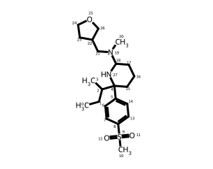 CCC(C)C1(c2ccc(S(C)(=O)=O)cc2)CCCC(N(C)CC2CCOC2)N1